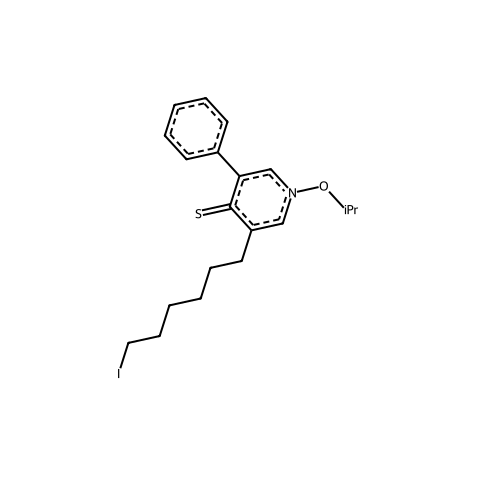 CC(C)On1cc(CCCCCCI)c(=S)c(-c2ccccc2)c1